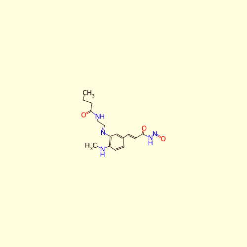 CCCC(=O)NC/C=N/c1cc(/C=C/C(=O)NN=O)ccc1NC